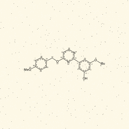 CCC(C)Oc1cc(O)cc(-c2nccc(OCc3ccc(OC)cc3)n2)c1